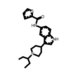 CCC(CC)N1CCC(c2c[nH]c3ccc(NC(=O)c4cccs4)cc23)CC1